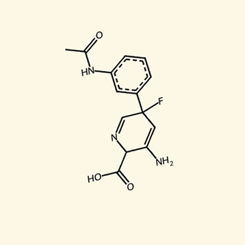 CC(=O)Nc1cccc(C2(F)C=NC(C(=O)O)C(N)=C2)c1